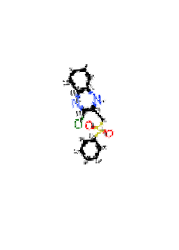 O=S(=O)(Cc1nc2ccccc2nc1Cl)c1ccccc1